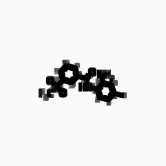 Cc1ccc(NC(=O)c2cccc(S(=O)(=O)C(F)(F)F)c2)c(N)c1